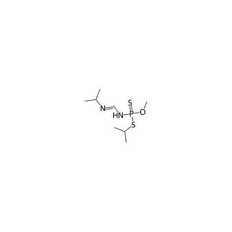 COP(=S)(NC=NC(C)C)SC(C)C